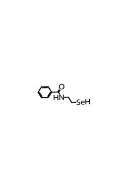 O=C(NCC[SeH])c1ccccc1